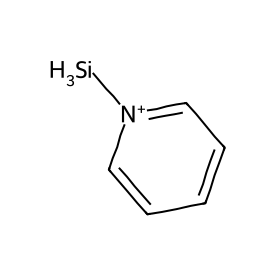 [SiH3][n+]1ccccc1